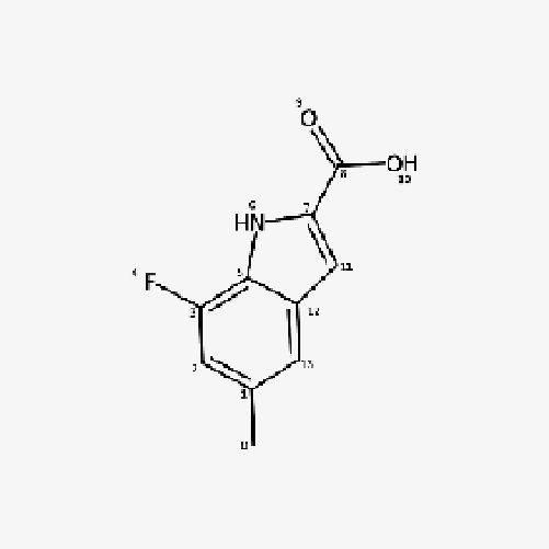 Cc1cc(F)c2[nH]c(C(=O)O)cc2c1